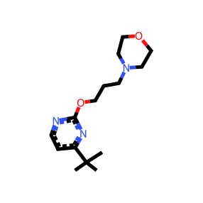 CC(C)(C)c1ccnc(OCCCN2CCOCC2)n1